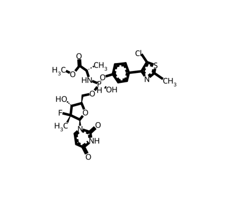 COC(=O)[C@H](C)N[PH](O)(OC[C@H]1O[C@@H](n2ccc(=O)[nH]c2=O)[C@](C)(F)[C@@H]1O)Oc1ccc(-c2nc(C)sc2Cl)cc1